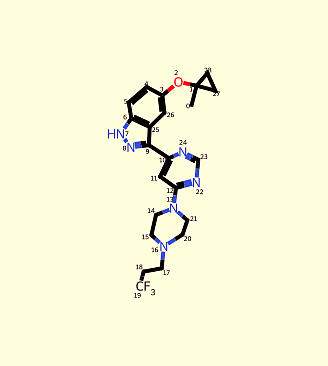 CC1(Oc2ccc3[nH]nc(-c4cc(N5CCN(CCC(F)(F)F)CC5)ncn4)c3c2)CC1